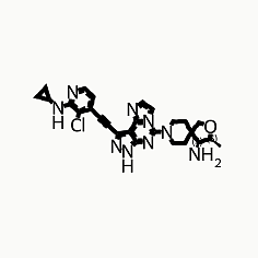 C[C@@H]1OCC2(CCN(c3nc4[nH]nc(C#Cc5ccnc(NC6CC6)c5Cl)c4c4nccn34)CC2)[C@@H]1N